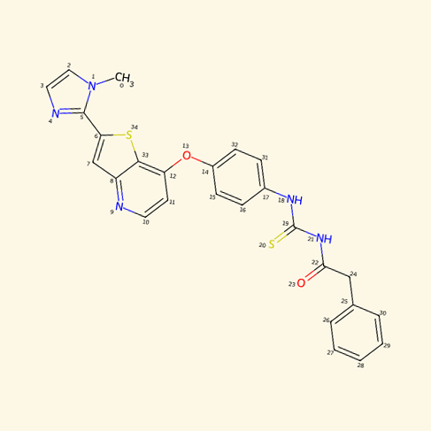 Cn1ccnc1-c1cc2nccc(Oc3ccc(NC(=S)NC(=O)Cc4ccccc4)cc3)c2s1